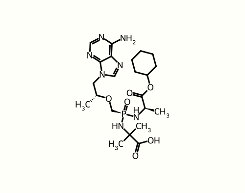 C[C@H](Cn1cnc2c(N)ncnc21)OC[P@@](=O)(N[C@H](C)C(=O)OC1CCCCC1)NC(C)(C)C(=O)O